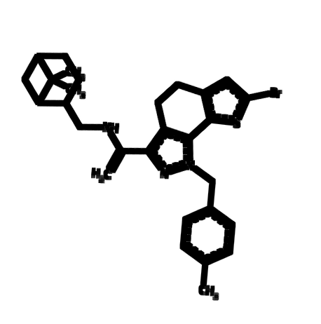 C=C(NCC1CCC2CC1C2(C)C)c1nn(Cc2ccc(C)cc2)c2c1CCc1cc(Br)sc1-2